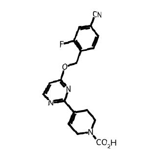 N#Cc1ccc(COc2ccnc(C3=CCN(C(=O)O)CC3)n2)c(F)c1